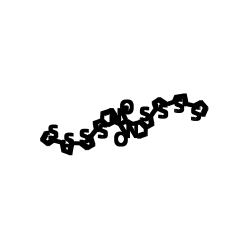 O=C1C2=C3c4sc(-c5ccc(-c6ccc(-c7cccs7)s6)s5)cc4C=CN3C(=O)C2=C2c3sc(-c4ccc(-c5ccc(-c6cccs6)s5)s4)cc3C=CN12